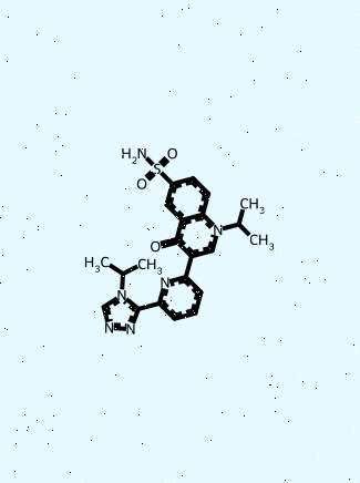 CC(C)n1cnnc1-c1cccc(-c2cn(C(C)C)c3ccc(S(N)(=O)=O)cc3c2=O)n1